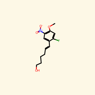 COc1cc(F)c(C=CCCCCO)cc1[N+](=O)[O-]